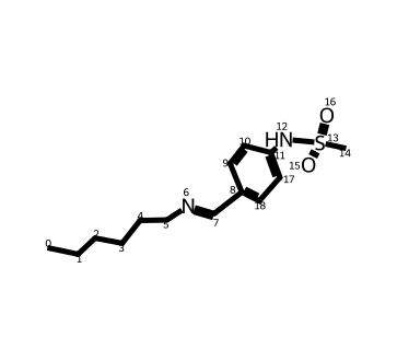 CCCCCCN=Cc1ccc(NS(C)(=O)=O)cc1